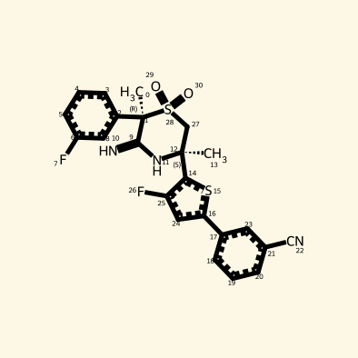 C[C@@]1(c2cccc(F)c2)C(=N)N[C@](C)(c2sc(-c3cccc(C#N)c3)cc2F)CS1(=O)=O